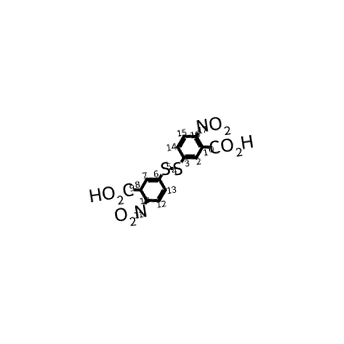 O=C(O)c1cc(SSC2=CC(C(=O)O)C([N+](=O)[O-])C=C2)ccc1[N+](=O)[O-]